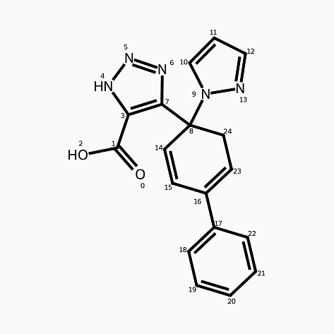 O=C(O)c1[nH]nnc1C1(n2cccn2)C=CC(c2ccccc2)=CC1